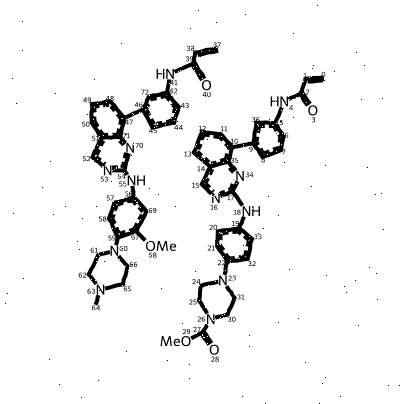 C=CC(=O)Nc1cccc(-c2cccc3cnc(Nc4ccc(N5CCN(C(=O)OC)CC5)cc4)nc23)c1.C=CC(=O)Nc1cccc(-c2cccc3cnc(Nc4ccc(N5CCN(C)CC5)c(OC)c4)nc23)c1